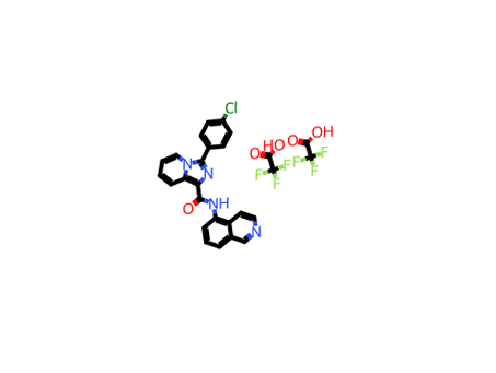 O=C(Nc1cccc2cnccc12)c1nc(-c2ccc(Cl)cc2)n2ccccc12.O=C(O)C(F)(F)F.O=C(O)C(F)(F)F